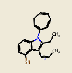 C/C=C\c1c(CC)n(C2=CCC=CC=C2)c2cccc(S)c12